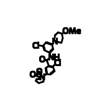 COC1CCN(c2cc(Cl)cc(NC(=O)c3cc(N4CCCS4(=O)=O)ccc3Cl)c2)CC1